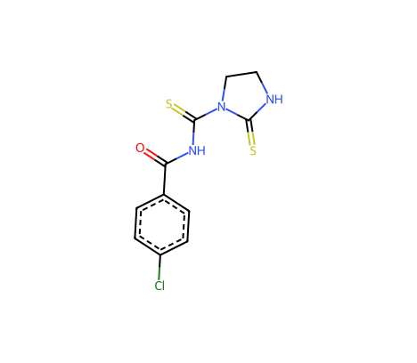 O=C(NC(=S)N1CCNC1=S)c1ccc(Cl)cc1